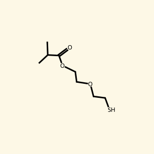 CC(C)C(=O)OCCOCCS